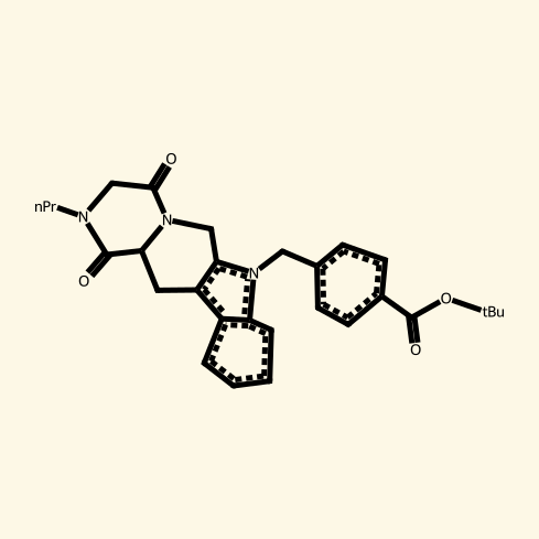 CCCN1CC(=O)N2Cc3c(c4ccccc4n3Cc3ccc(C(=O)OC(C)(C)C)cc3)CC2C1=O